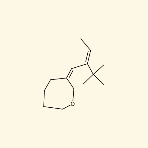 C/C=C(\C=C1\CCCCOC1)C(C)(C)C